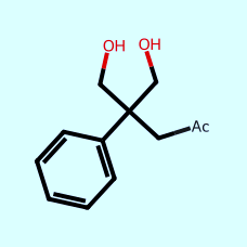 CC(=O)CC(CO)(CO)c1ccccc1